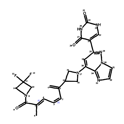 C=C(/C=C\C=C(/C)C(=O)N1CC(F)(F)C1)C1CN(c2cc(-c3c[nH]c(=O)[nH]c3=O)nn3ccnc23)C1